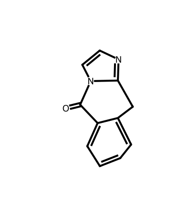 O=C1c2ccccc2Cc2nccn21